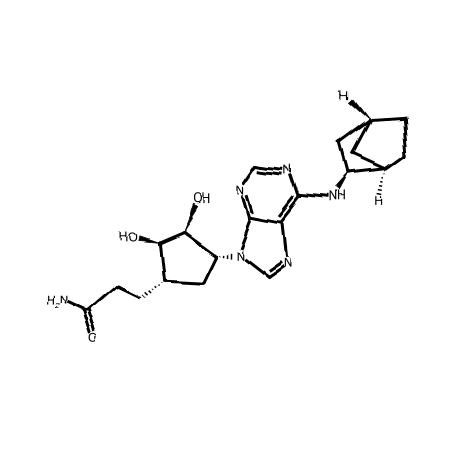 NC(=O)CC[C@H]1C[C@@H](n2cnc3c(N[C@H]4C[C@@H]5CC[C@@H]4C5)ncnc32)[C@H](O)[C@@H]1O